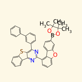 CC1(C)OB(c2ccc3c(c2)oc2cccc(-c4nc(-c5cccc(-c6ccccc6)c5)c5sc6ccccc6c5n4)c23)OC1(C)C